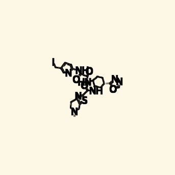 CN1CCc2nc(C(=O)N[C@@H]3C[C@@H](c4nnco4)CC[C@@H]3NC(=O)C(=O)Nc3ccc(CI)cn3)sc2C1